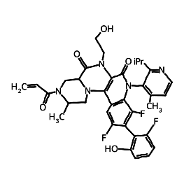 C=CC(=O)N1CC2C(=O)N(CCO)c3c(c4cc(F)c(-c5c(O)cccc5F)c(F)c4n(-c4c(C)ccnc4C(C)C)c3=O)N2CC1C